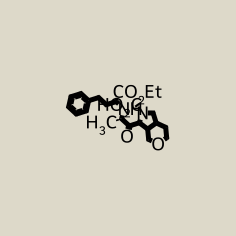 CCOC(=O)[C@H](CCc1ccccc1)N[C@@H](C)C(=O)C1C2COCCC2CN1C(=O)O